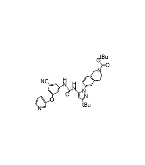 CC(C)(C)OC(=O)N1CCc2cc(-n3nc(C(C)(C)C)cc3NC(=O)Nc3cc(C#N)cc(Oc4cccnc4)c3)ccc2C1